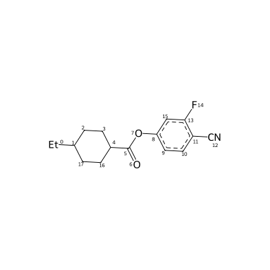 CCC1CCC(C(=O)Oc2ccc(C#N)c(F)c2)CC1